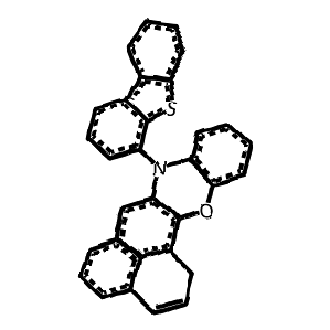 C1=Cc2cccc3cc4c(c(c23)C1)Oc1ccccc1N4c1cccc2c1sc1ccccc12